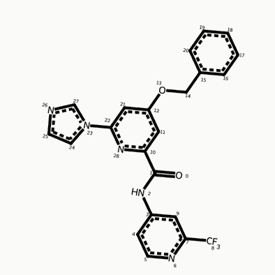 O=C(Nc1ccnc(C(F)(F)F)c1)c1cc(OCc2ccccc2)cc(-n2ccnc2)n1